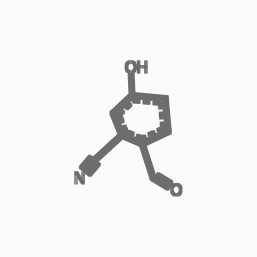 N#Cc1cc(O)ccc1C=O